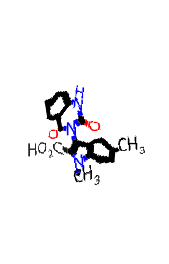 Cc1ccc2c(c1)c(-n1c(=O)[nH]c3ccccc3c1=O)c(C(=O)O)n2C